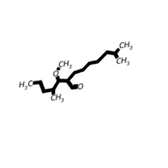 CCCC(C)C(OC)C(C=O)CCCCCC(C)C